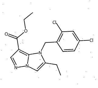 CCOC(=O)c1cnn2cc(CC)n(Cc3ccc(Cl)cc3Cl)c12